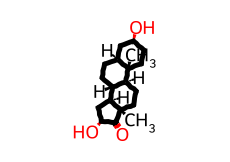 C[C@]12CC[C@H](O)C[C@@H]1CC[C@@H]1[C@@H]2CC[C@]2(C)C(=O)[C@@H](O)C[C@@H]12